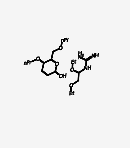 CCCOCC1OC(O)CCC1OCCC.CCOCC(NC(=N)N)OCC